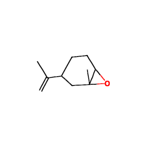 C=C(C)C1CCC2OC2(C)C1